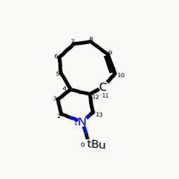 CC(C)(C)N1CCC2CCCC/C=C\CC2C1